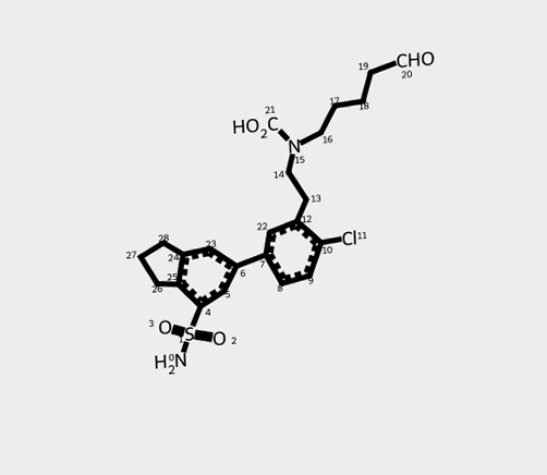 NS(=O)(=O)c1cc(-c2ccc(Cl)c(CCN(CCCCC=O)C(=O)O)c2)cc2c1CCC2